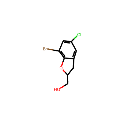 OCC1Cc2cc(Cl)cc(Br)c2O1